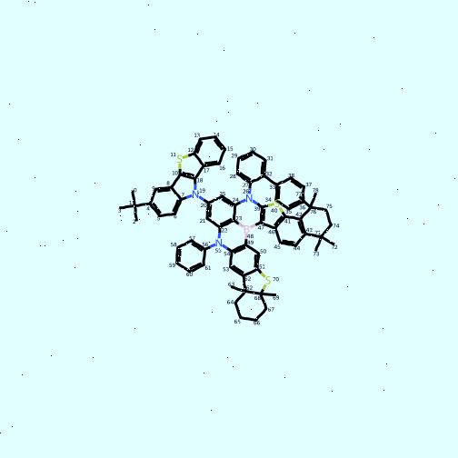 CC(C)(C)c1ccc2c(c1)c1sc3ccccc3c1n2-c1cc2c3c(c1)N(c1ccccc1-c1ccccc1)c1sc4c5c(ccc4c1B3c1cc3c(cc1N2c1ccccc1)C1(C)CCCCC1(C)S3)C(C)(C)CCC5(C)C